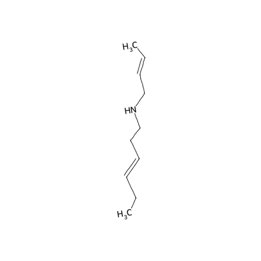 C/C=C/CNCC/C=C/CC